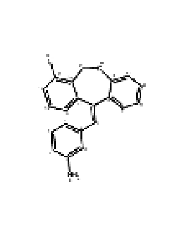 Nc1cccc(/C=C2/c3ccccc3OCc3c(Cl)cccc32)c1